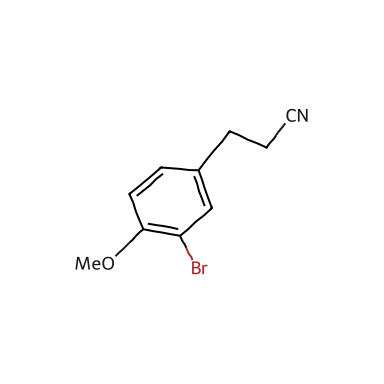 COc1ccc(CCC#N)cc1Br